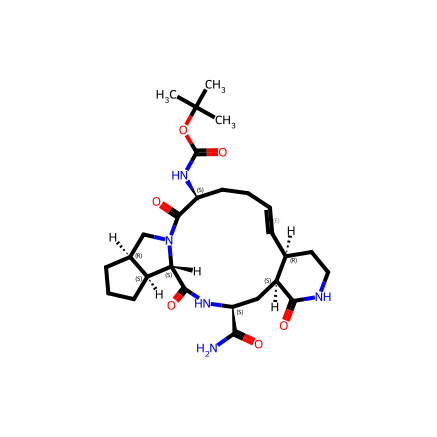 CC(C)(C)OC(=O)N[C@H]1CC/C=C/[C@H]2CCNC(=O)[C@H]2C[C@@H](C(N)=O)NC(=O)[C@@H]2[C@H]3CCC[C@H]3CN2C1=O